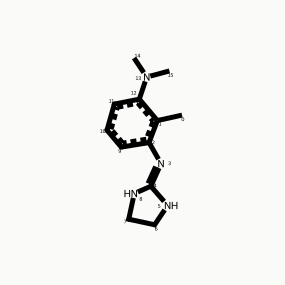 Cc1c(N=C2NCCN2)cccc1N(C)C